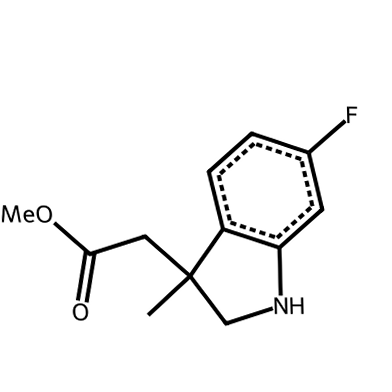 COC(=O)CC1(C)CNc2cc(F)ccc21